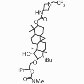 CC[C@@H](C)[C@H]1C(OCC(OC(=O)NC)C(C)C)[C@H](O)[C@@]2(C)C3CCC4C(C)(C)C(OC(=O)NC5CN(CC(F)(F)F)C5)CCC45CC35CCC12C